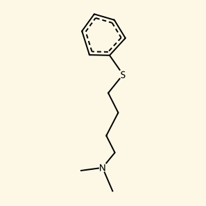 CN(C)CCCCSc1ccccc1